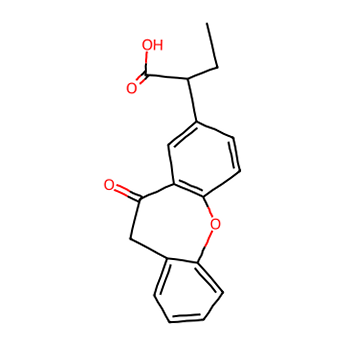 CCC(C(=O)O)c1ccc2c(c1)C(=O)Cc1ccccc1O2